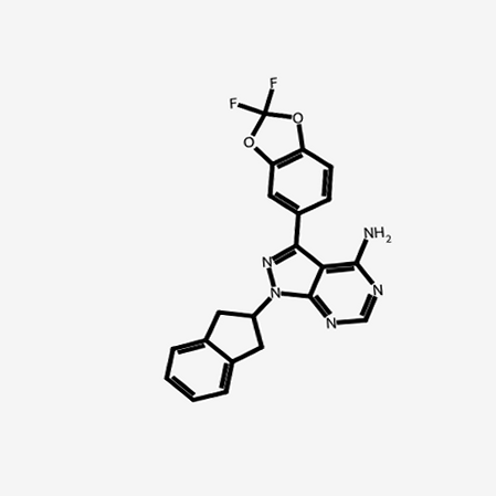 Nc1ncnc2c1c(-c1ccc3c(c1)OC(F)(F)O3)nn2C1Cc2ccccc2C1